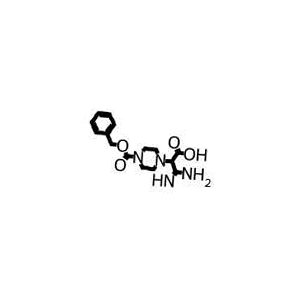 N=C(N)C(C(=O)O)N1CCN(C(=O)OCc2ccccc2)CC1